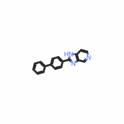 c1ccc(-c2ccc(-c3nc4cnccc4[nH]3)cc2)cc1